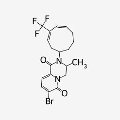 CC1Cn2c(ccc(Br)c2=O)C(=O)N1C1C/C=C(C(F)(F)F)\C=C/CCC1